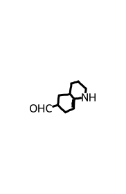 O=CC1CC=C2NCCCC2C1